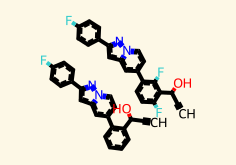 C#CC(O)c1c(F)ccc(-c2ccn3nc(-c4ccc(F)cc4)cc3c2)c1F.C#CC(O)c1ccccc1-c1ccn2nc(-c3ccc(F)cc3)cc2c1